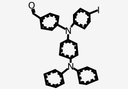 O=Cc1ccc(N(c2ccc(I)cc2)c2ccc(N(c3ccccc3)c3ccccc3)cc2)cc1